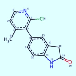 Cc1ccnc(Cl)c1-c1ccc2c(c1)CC(=O)N2